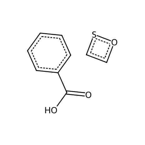 O=C(O)c1ccccc1.c1cso1